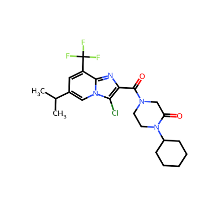 CC(C)c1cc(C(F)(F)F)c2nc(C(=O)N3CCN(C4CCCCC4)C(=O)C3)c(Cl)n2c1